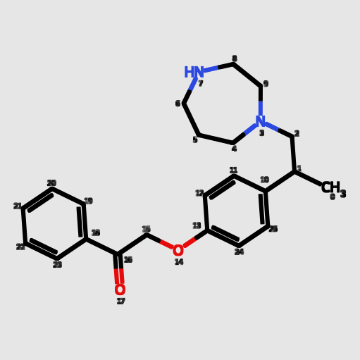 CC(CN1CCCNCC1)c1ccc(OCC(=O)c2ccccc2)cc1